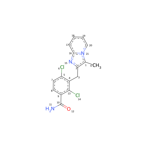 Cc1c(Cc2c(Cl)ccc(C(N)=O)c2Cl)nc2ccccn12